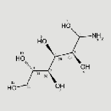 NC(O)[C@@H](O)[C@H](O)[C@@H](O)[C@@H](O)CO